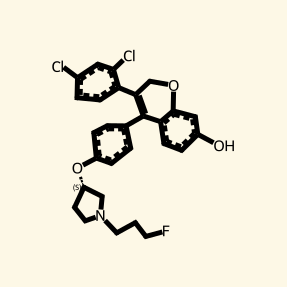 Oc1ccc2c(c1)OCC(c1ccc(Cl)cc1Cl)=C2c1ccc(O[C@H]2CCN(CCCF)C2)cc1